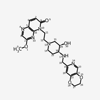 COc1cnc2ccc(=O)n(CCN3CC[C@H](NCc4cc5c(cn4)OCCO5)[C@H](O)C3)c2n1